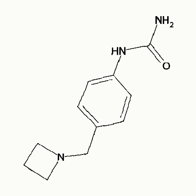 NC(=O)Nc1ccc(CN2CCC2)cc1